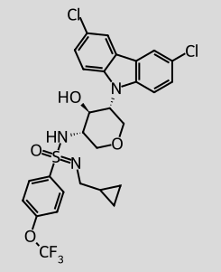 O=S(=NCC1CC1)(N[C@H]1COC[C@@H](n2c3ccc(Cl)cc3c3cc(Cl)ccc32)[C@@H]1O)c1ccc(OC(F)(F)F)cc1